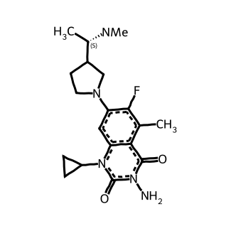 CN[C@@H](C)C1CCN(c2cc3c(c(C)c2F)c(=O)n(N)c(=O)n3C2CC2)C1